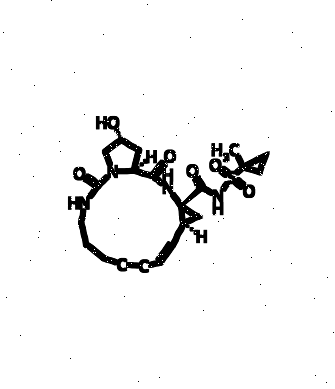 CC1(S(=O)(=O)NC(=O)[C@@]23C[C@H]2/C=C\CCCCCNC(=O)N2C[C@H](O)C[C@H]2C(=O)N3)CC1